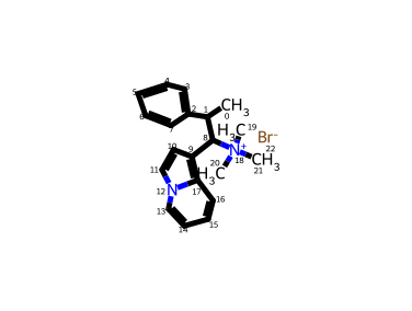 CC(c1ccccc1)C(c1ccn2ccccc12)[N+](C)(C)C.[Br-]